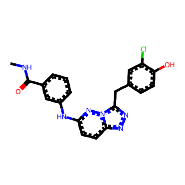 CNC(=O)c1cccc(Nc2ccc3nnc(Cc4ccc(O)c(Cl)c4)n3n2)c1